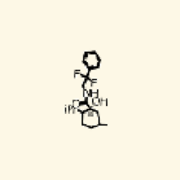 CC1CCC(C(C)C)[C@@](O)(C(=O)NCC(F)(F)c2ccccc2)C1